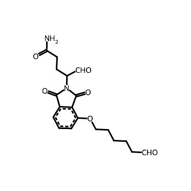 NC(=O)CCC(C=O)N1C(=O)c2cccc(OCCCCCC=O)c2C1=O